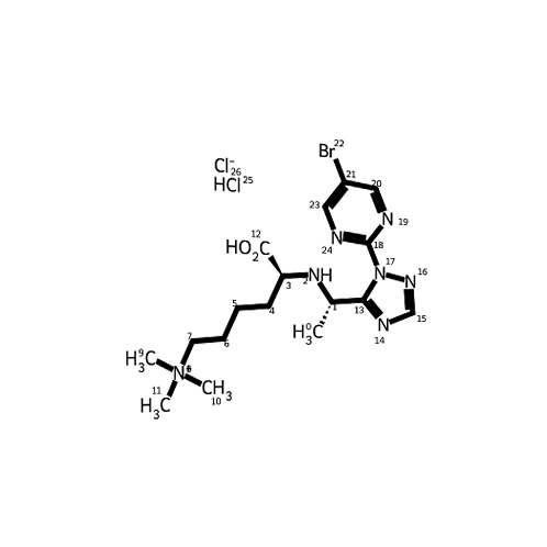 C[C@H](N[C@@H](CCCC[N+](C)(C)C)C(=O)O)c1ncnn1-c1ncc(Br)cn1.Cl.[Cl-]